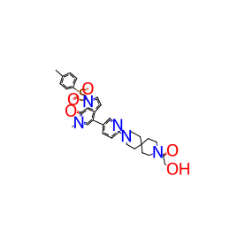 Cc1ccc(S(=O)(=O)n2ccc3c(-c4ccc(N5CCC6(CCN(C(=O)CO)CC6)CC5)nc4)cn(C)c(=O)c32)cc1